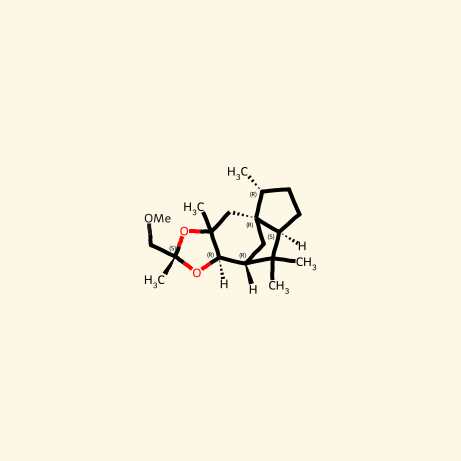 COC[C@@]1(C)O[C@@H]2[C@@H]3C[C@@]4(CC2(C)O1)[C@H](C)CC[C@H]4C3(C)C